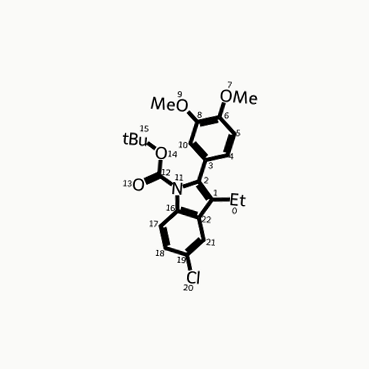 CCc1c(-c2ccc(OC)c(OC)c2)n(C(=O)OC(C)(C)C)c2ccc(Cl)cc12